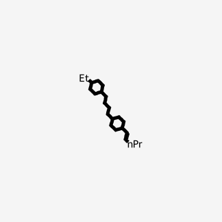 CCC/C=C/C1CCC(CCCCC2CCC(CC)CC2)CC1